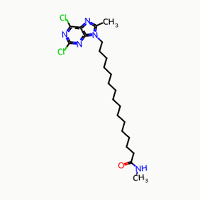 CNC(=O)CCCCCCCCCCCCCCCn1c(C)nc2c(Cl)nc(Cl)nc21